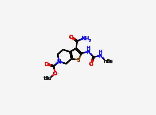 CCCCNC(=O)Nc1sc2c(c1C(N)=O)CCN(C(=O)OC(C)(C)C)C2